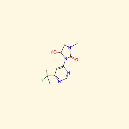 CN1CC(O)N(c2cc(C(C)(C)F)ncn2)C1=O